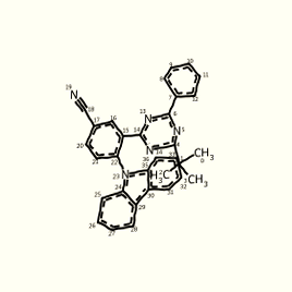 CC(C)(C)c1nc(-c2ccccc2)nc(-c2cc(C#N)ccc2-n2c3ccccc3c3ccccc32)n1